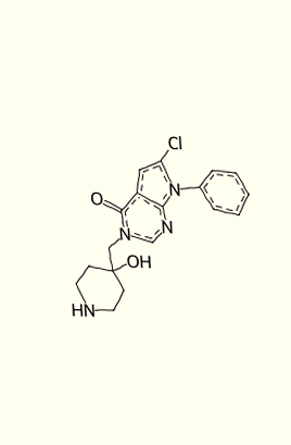 O=c1c2cc(Cl)n(-c3ccccc3)c2ncn1CC1(O)CCNCC1